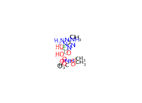 CNc1nc(N)nc2c1ncn2[C@@H]1O[C@H](COP(=O)(N[C@H](C)C(=O)OC(C)C)Oc2ccccc2)[C@@H](O)[C@]1(F)CO